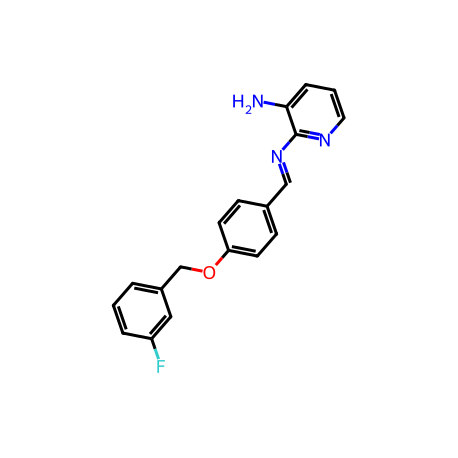 Nc1cccnc1/N=C/c1ccc(OCc2cccc(F)c2)cc1